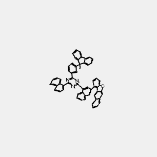 CC1(c2cccc(-c3nc(-c4cccc5ccccc45)nc(-c4cc(-c5cccc6oc7cc8ccccc8cc7c56)cc5ccccc45)n3)c2)c2ccccc2-c2ccccc21